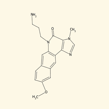 COc1ccc2cc3c(cc2c1)c1ncn(C)c1c(=O)n3CCCN